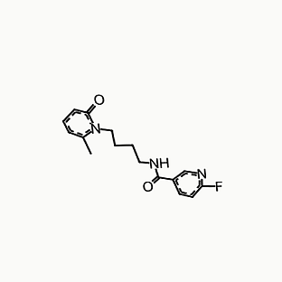 Cc1cccc(=O)n1CCCCNC(=O)c1ccc(F)nc1